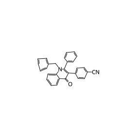 N#Cc1ccc(-c2c(-c3ccccc3)n(Cc3ccccc3)c3ccccc3c2=O)cc1